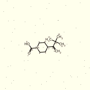 C=C(C1CCN(C(=O)O)CC1)C(C)(C)C